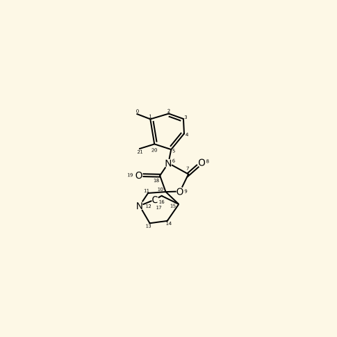 Cc1cccc(N2C(=O)OC3(CN4CCC3CC4)C2=O)c1C